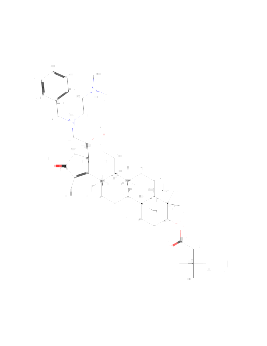 CC(C)C1=C2[C@H]3CC[C@@H]4[C@@]5(C)CCC(OC(=O)CC(C)(C)C(=O)O)C(C)(C)[C@@H]5CC[C@@]4(C)[C@]3(C)CC[C@@]2([C@H](O)CN(CCN(C)C)Cc2ccccc2)CC1=O